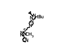 Cn1c(SCCCN2CCN(c3cc(C(C)(C)C)nc(C4CC4)n3)CC2)nnc1-c1cccnc1